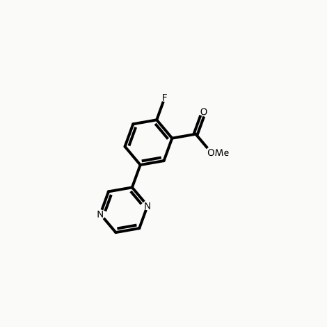 COC(=O)c1cc(-c2cnccn2)ccc1F